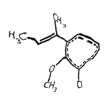 CC=C(C)c1cccc(Cl)c1OC